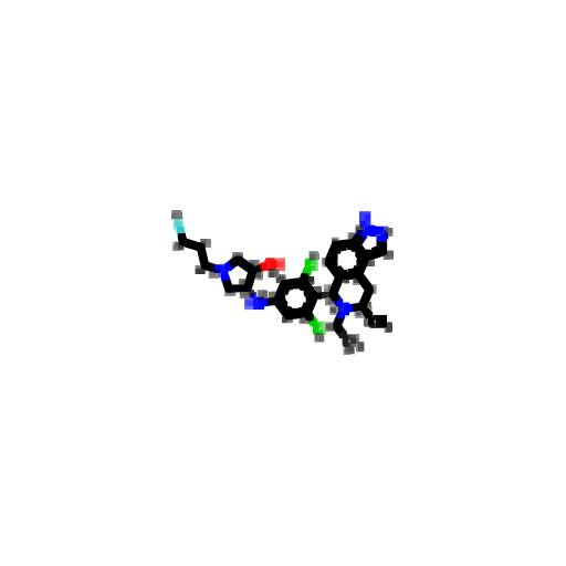 C[C@@H]1Cc2c(ccc3[nH]ncc23)[C@@H](c2c(Cl)cc(N[C@@H]3CN(CCCF)C[C@H]3O)cc2Cl)N1CC(F)(F)F